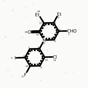 [CH2]Cc1c(C=O)cn(-c2cc(I)c(F)cc2Cl)c(=O)c1CC